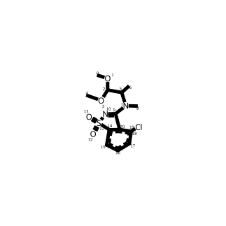 COC(OC)C(C)N(C)C1=NS(=O)(=O)c2cccc(Cl)c21